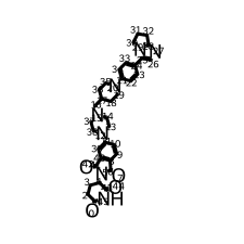 O=C1CCC(N2C(=O)c3ccc(N4CCN(CC5CCN(c6ccc(-c7cnc8n7CCC8)cc6)CC5)CC4)cc3C2=O)C(=O)N1